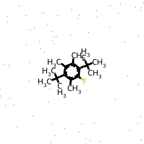 Cc1c(C)c(C(C)(C)C)c(F)c(C)c1C(C)(C)C